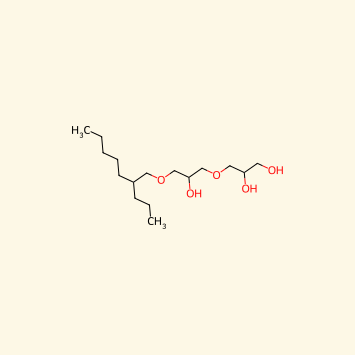 CCCCCC(CCC)COCC(O)COCC(O)CO